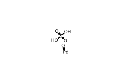 O=S(=O)(O)O.[O]=[Pd]